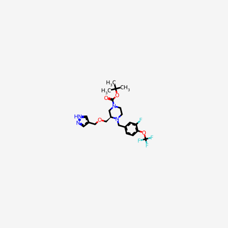 CC(C)(C)OC(=O)N1CCN(Cc2ccc(OC(F)(F)F)c(F)c2)[C@@H](COCc2cn[nH]c2)C1